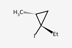 CC[C@]1(I)C[C@H]1C